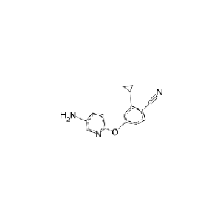 N#Cc1ccc(Oc2ccc(N)cn2)cc1C1CC1